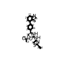 C#Cc1nc(NC(=O)N[C@@H](COC(C)=O)c2ccc(-c3cccc4ncsc34)cc2)cs1